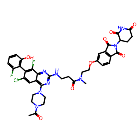 CC(=O)N1CCN(c2nc(NCCC(=O)N(C)CCOc3ccc4c(c3)C(=O)N(C3CCC(=O)NC3=O)C4=O)nc3c(F)c(-c4c(O)cccc4F)c(Cl)cc23)CC1